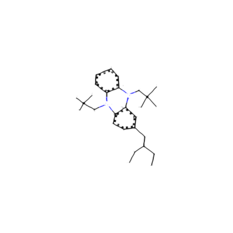 CCC(CC)Cc1ccc2c(c1)N(CC(C)(C)C)c1ccccc1N2CC(C)(C)C